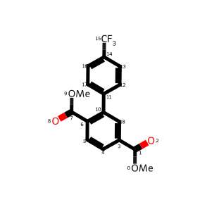 COC(=O)c1ccc(C(=O)OC)c(-c2ccc(C(F)(F)F)cc2)c1